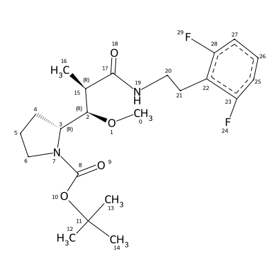 CO[C@@H]([C@H]1CCCN1C(=O)OC(C)(C)C)[C@@H](C)C(=O)NCCc1c(F)cccc1F